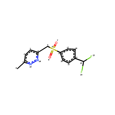 Cc1ccc(CS(=O)(=O)c2ccc(C(F)F)cc2)nn1